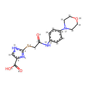 O=C(CSc1nc(C(=O)O)c[nH]1)Nc1ccc(N2CCOCC2)cc1